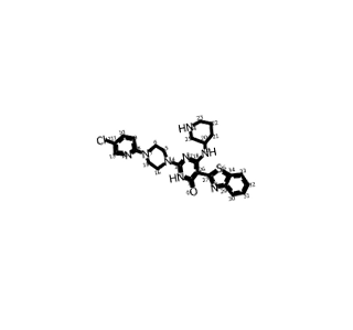 O=c1[nH]c(N2CCN(c3ccc(Cl)cn3)CC2)nc(NC2CCCNC2)c1-c1nc2ccccc2s1